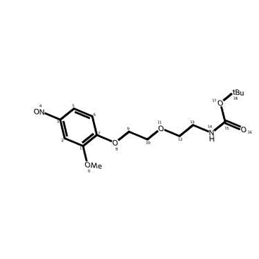 COc1cc(N=O)ccc1OCCOCCNC(=O)OC(C)(C)C